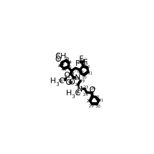 COc1ccc(C2Cc3c(cccc3C(F)(F)F)N(CCN(C)CCC(=O)c3ccccc3)C(=O)[C@@H]2OC(C)=O)cc1